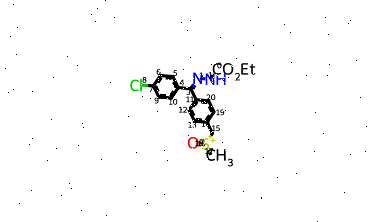 CCOC(=O)NN=C(c1ccc(Cl)cc1)c1ccc(C[S+](C)[O-])cc1